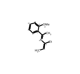 C/C=C(CC)\N=C(/C)c1ccccc1OC